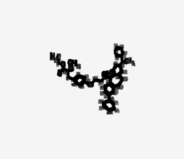 CCOC(=O)C(Cc1ccc(OCCN(C)C2c3ccc(-c4ccccc4)cc3CCc3cc(C(C)c4ccccc4)ccc32)cc1)OC